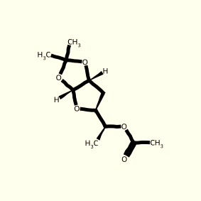 CC(=O)O[C@@H](C)[C@@H]1C[C@H]2OC(C)(C)O[C@H]2O1